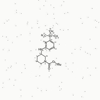 CC(C)(C)OC(=O)N1CCCC(Nc2cnc[c]([Sn]([CH3])([CH3])[CH3])n2)C1